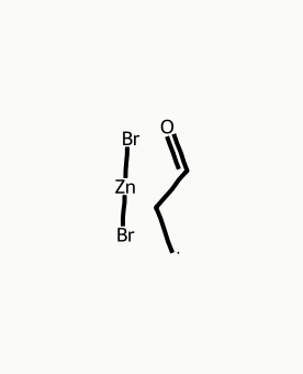 [Br][Zn][Br].[CH2]CC=O